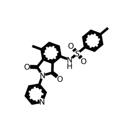 Cc1ccc(S(=O)(=O)Nc2ccc(C)c3c2C(=O)N(c2cccnc2)C3=O)cc1